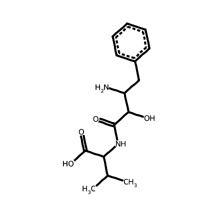 CC(C)C(NC(=O)C(O)C(N)Cc1ccccc1)C(=O)O